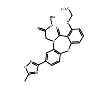 Cc1nc(-c2ccc3c(c2)N(CC(=O)OC(C)(C)C)C(=O)c2c(OCC(=O)O)cccc2O3)no1